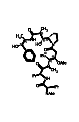 CC[C@H](C)[C@@H]([C@@H](CC(=O)N1CCC[C@H]1[C@H](O)[C@@H](C)C(=O)N[C@H](C)[C@@H](O)c1ccccc1)OC)N(C)C(=O)C(NC(=O)C(NC)C(C)C)C(C)C